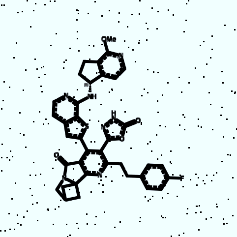 COc1nccc2c1CC[C@H]2Nc1nccc2cc(-c3c4c(nc(CCc5ccc(F)cc5)c3-c3n[nH]c(=O)o3)C35CC(CN3C4=O)C5)sc12